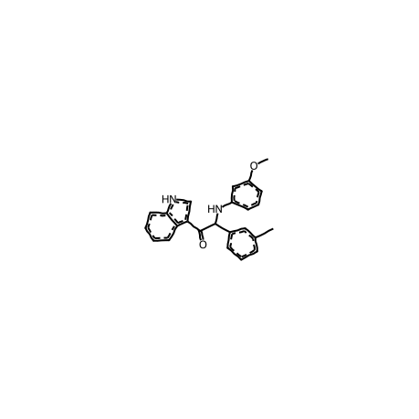 COc1cccc(NC(C(=O)c2c[nH]c3ccccc23)c2cccc(C)c2)c1